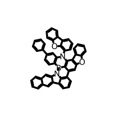 c1ccc(-c2ccc3c(c2)N(c2cccc4c2oc2ccccc24)c2c4c(cc5oc6ccccc6c25)-c2cccc5c6cc7ccccc7cc6n(c25)B34)cc1